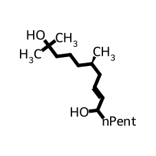 CCCCCC(O)C=CC[C@H](C)CCCC(C)(C)O